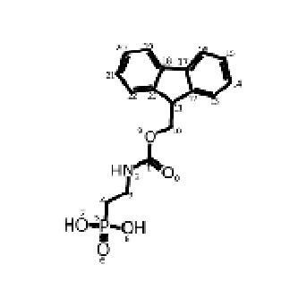 O=C(NCCP(=O)(O)O)OCC1c2ccccc2-c2ccccc21